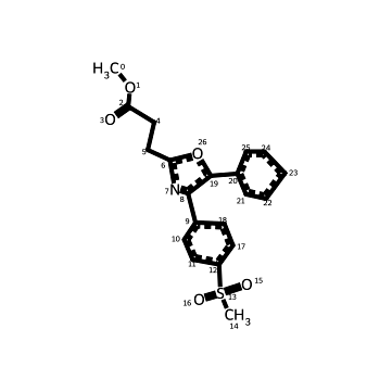 COC(=O)CCc1nc(-c2ccc(S(C)(=O)=O)cc2)c(-c2ccccc2)o1